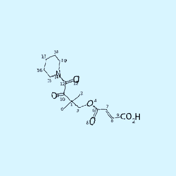 CC(C)(COC(=O)/C=C/C(=O)O)C(=O)C(=O)N1CCCCC1